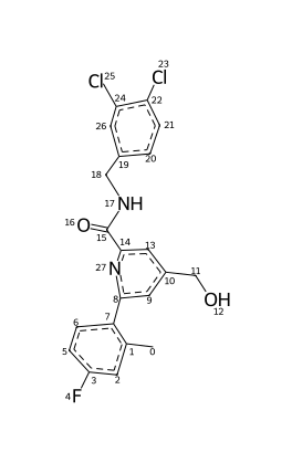 Cc1cc(F)ccc1-c1cc(CO)cc(C(=O)NCc2ccc(Cl)c(Cl)c2)n1